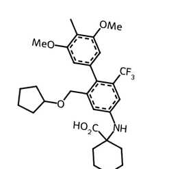 COc1cc(-c2c(COC3CCCC3)cc(NC3(C(=O)O)CCOCC3)cc2C(F)(F)F)cc(OC)c1C